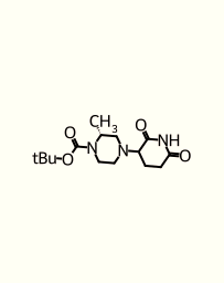 C[C@@H]1CN(C2CCC(=O)NC2=O)CCN1C(=O)OC(C)(C)C